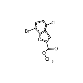 COC(=O)c1cc2c(Cl)ccc(Br)c2o1